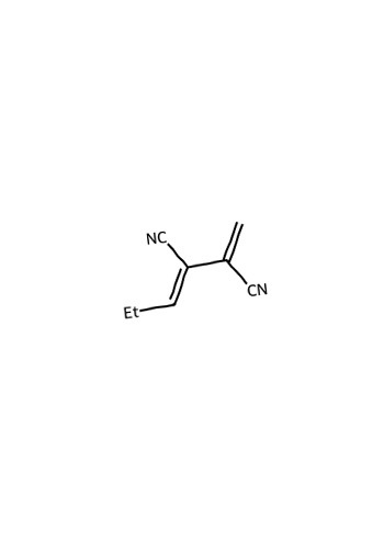 C=C(C#N)/C(C#N)=C/CC